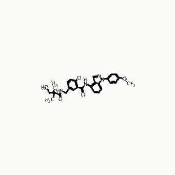 CC(C)(CO)C(=O)NCc1ccc(Cl)c(C(=O)Nc2cccc3c2cnn3-c2ccc(OC(F)(F)F)cc2)c1